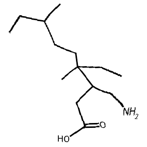 CCC(C)CCC(C)(CC)C(CN)CC(=O)O